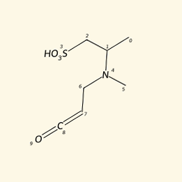 CC(CS(=O)(=O)O)N(C)CC=C=O